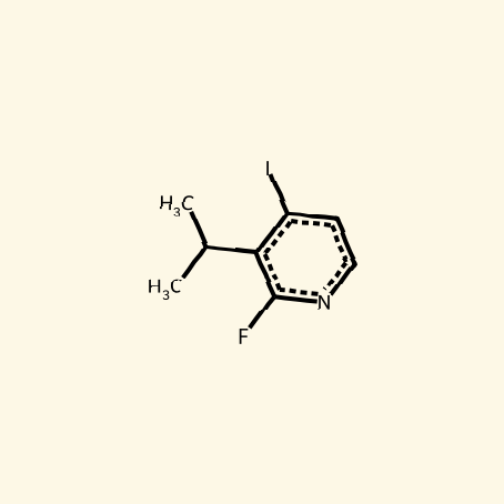 CC(C)c1c(I)ccnc1F